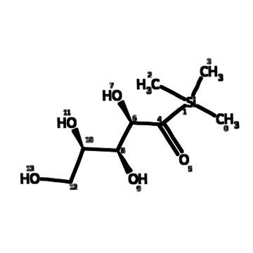 C[Si](C)(C)C(=O)[C@H](O)[C@@H](O)[C@H](O)CO